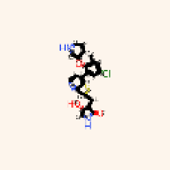 Cc1cc(Cl)cc(-c2ccnc3cc(CC4C(=O)NCC4O)sc23)c1OC1CCCNC1